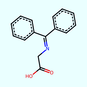 O=C(O)CN=C(c1ccccc1)c1ccccc1